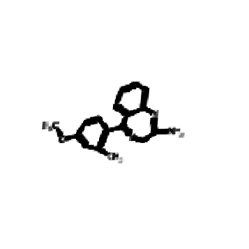 COc1ccc(C2=NCC(N)=Nc3ccccc32)c(C)c1